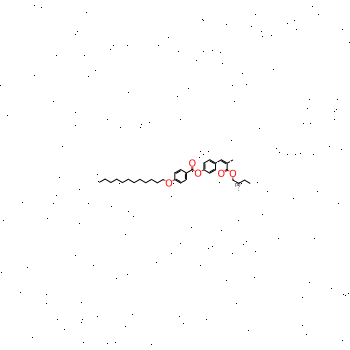 CCCCCCCCCCCCOc1ccc(C(=O)Oc2ccc(C=C(C)C(=O)OC[C@@H](C)CC)cc2)cc1